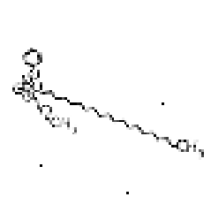 CCCCCCCCCCCCCCCCCCCCOP(=O)(OCCOCC)OOc1ccccc1